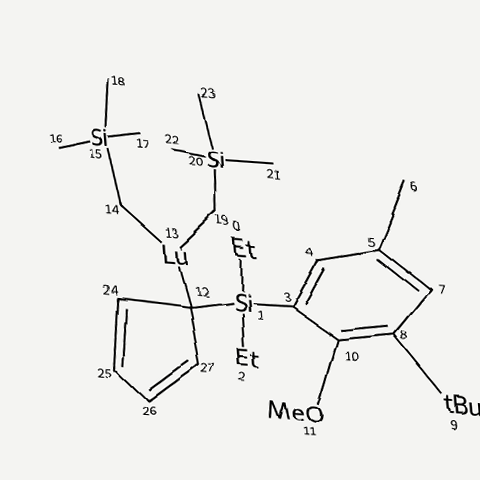 CC[Si](CC)(c1cc(C)cc(C(C)(C)C)c1OC)[C]1([Lu]([CH2][Si](C)(C)C)[CH2][Si](C)(C)C)C=CC=C1